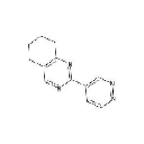 c1cc(-c2ncc3c(n2)CCCC3)cnn1